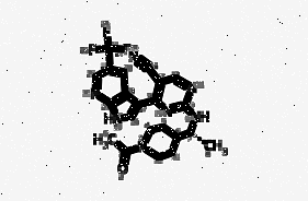 CC(=O)N1CCC([C@@H](C)Nc2ncc(C#N)c(-c3c[nH]c4ncc(C(F)(F)F)cc34)n2)CC1